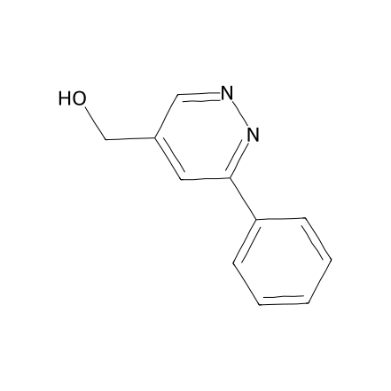 OCc1cnnc(-c2ccccc2)c1